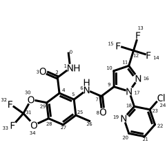 CNC(=O)c1c(NC(=O)c2cc(C(F)(F)F)nn2-c2ncccc2Cl)c(C)cc2c1OC(F)(F)O2